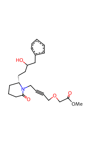 COC(=O)COCC#CCN1C(=O)CCC[C@@H]1CCC(O)Cc1ccccc1